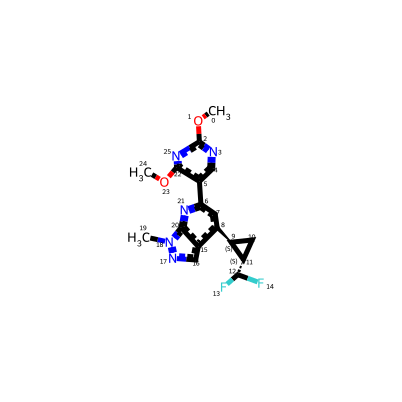 COc1ncc(-c2cc([C@H]3C[C@@H]3C(F)F)c3cnn(C)c3n2)c(OC)n1